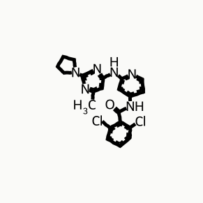 Cc1cc(Nc2cc(NC(=O)c3c(Cl)cccc3Cl)ccn2)nc(N2CCCC2)n1